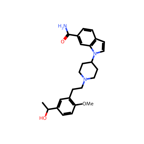 COc1ccc(C(C)O)cc1CCN1CCC(n2ccc3ccc(C(N)=O)cc32)CC1